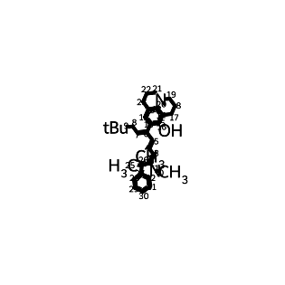 CN1/C(=C/C=C/C(=C/CC(C)(C)C)c2cc3c4c(c2O)CCCN4CCC3)C(C)(C)c2ccccc21